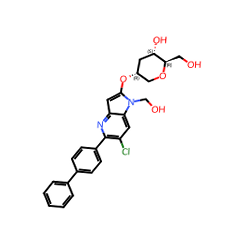 OC[C@H]1OC[C@H](Oc2cc3nc(-c4ccc(-c5ccccc5)cc4)c(Cl)cc3n2CO)C[C@@H]1O